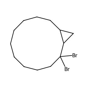 BrC1(Br)CCCCCCCCCC2CC21